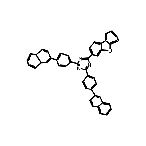 C1=CC2C=CC(c3ccc(-c4nc(-c5ccc(-c6ccc7ccccc7c6)cc5)nc(-c5ccc6c(c5)oc5ccccc56)n4)cc3)=CC2C=C1